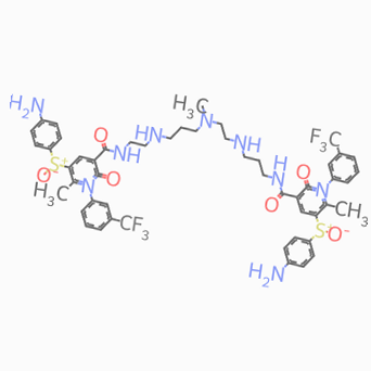 Cc1c([S+]([O-])c2ccc(N)cc2)cc(C(=O)NCCCNCCN(C)CCCNCCNC(=O)c2cc([S+]([O-])c3ccc(N)cc3)c(C)n(-c3cccc(C(F)(F)F)c3)c2=O)c(=O)n1-c1cccc(C(F)(F)F)c1